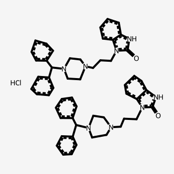 Cl.O=c1[nH]c2ccccc2n1CCCN1CCN(C(c2ccccc2)c2ccccc2)CC1.O=c1[nH]c2ccccc2n1CCCN1CCN(C(c2ccccc2)c2ccccc2)CC1